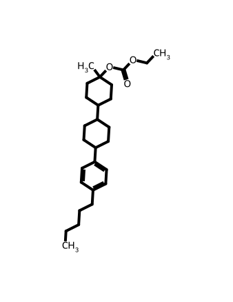 CCCCCc1ccc(C2CCC(C3CCC(C)(OC(=O)OCC)CC3)CC2)cc1